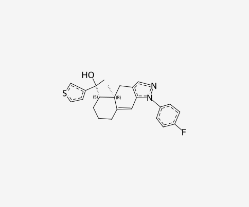 CC(O)(c1ccsc1)[C@H]1CCCC2=Cc3c(cnn3-c3ccc(F)cc3)C[C@@]21C